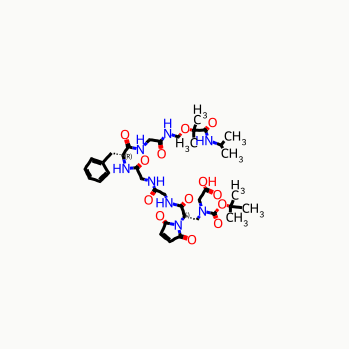 CC(C)NC(=O)C(C)(C)OCNC(=O)CNC(=O)[C@@H](Cc1ccccc1)NC(=O)CNC(=O)CNC(=O)[C@H](CN(CC(=O)O)C(=O)OC(C)(C)C)N1C(=O)C=CC1=O